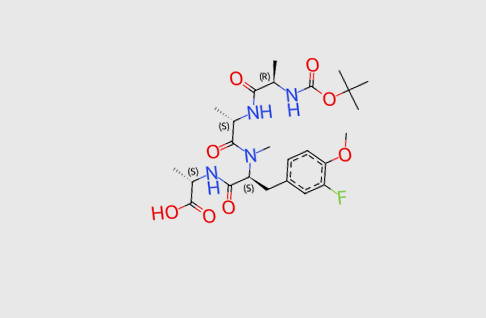 COc1ccc(C[C@@H](C(=O)N[C@@H](C)C(=O)O)N(C)C(=O)[C@H](C)NC(=O)[C@@H](C)NC(=O)OC(C)(C)C)cc1F